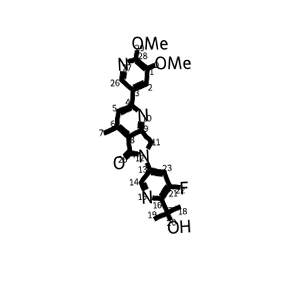 COc1cc(-c2cc(C)c3c(n2)CN(c2cnc(C(C)(C)O)c(F)c2)C3=O)cnc1OC